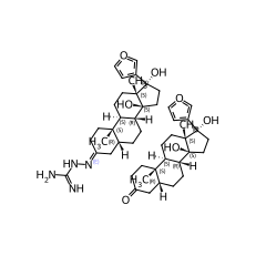 C[C@]12CC/C(=N\NC(=N)N)C[C@H]1CC[C@@H]1[C@@H]2CC[C@]2(C)[C@@](O)(c3ccoc3)CC[C@]12O.C[C@]12CCC(=O)C[C@H]1CC[C@@H]1[C@@H]2CC[C@]2(C)[C@@](O)(c3ccoc3)CC[C@]12O